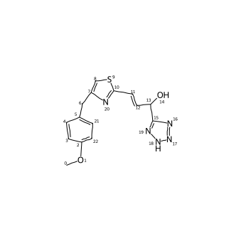 COc1ccc(Cc2csc(C=CC(O)c3nn[nH]n3)n2)cc1